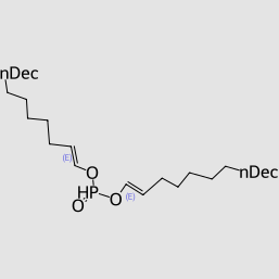 CCCCCCCCCCCCCCC/C=C/O[PH](=O)O/C=C/CCCCCCCCCCCCCCC